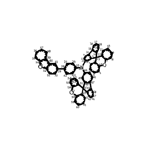 c1ccc2c(c1)Oc1ccccc1C21c2ccccc2-c2ccc(N(c3ccc(-c4ccc5oc6ccccc6c5c4)cc3)c3ccc4c(c3)C3(c5ccccc5Oc5ccccc53)c3ccccc3-4)cc21